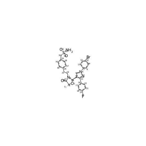 C[C@H]1O[C@H](c2cn(-c3ccc(Br)cc3)nc2-c2ccc(F)cc2)N(CCc2ccc(CS(N)(=O)=O)cc2)C1=O